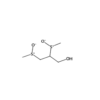 C[S+]([O-])CC(CO)[S+](C)[O-]